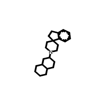 c1ccc2c(c1)CCC21CCN(C2CCC3CCCCC3C2)CC1